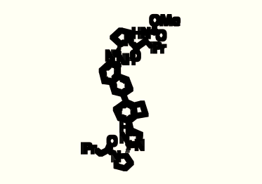 COC(=O)N[C@H](C(=O)N1CCC[C@H]1c1nc2ccc3cc(-c4ccc(-c5cnc([C@@H]6CCCN6C(=O)CC(C)C)[nH]5)c5c4CC5)ccc3c2[nH]1)C(C)C